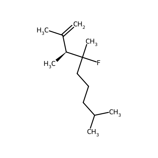 C=C(C)[C@H](C)C(C)(F)CCCC(C)C